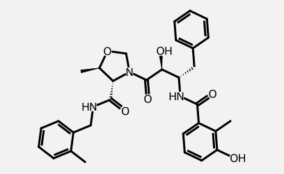 Cc1ccccc1CNC(=O)[C@@H]1[C@@H](C)OCN1C(=O)[C@@H](O)[C@H](Cc1ccccc1)NC(=O)c1cccc(O)c1C